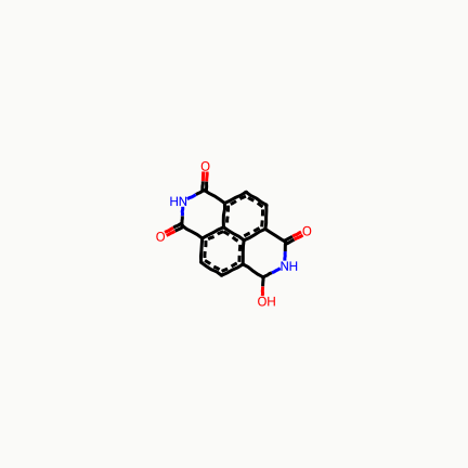 O=C1NC(=O)c2ccc3c4c(ccc1c24)C(=O)NC3O